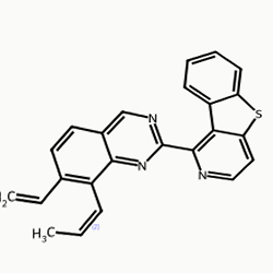 C=Cc1ccc2cnc(-c3nccc4sc5ccccc5c34)nc2c1/C=C\C